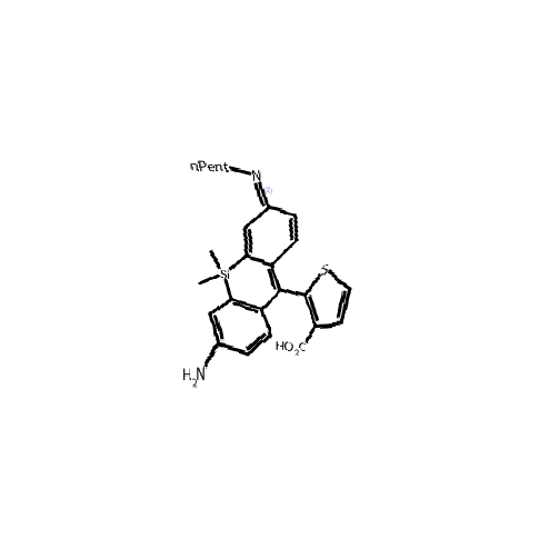 CCCCC/N=C1/C=CC2=C(c3sccc3C(=O)O)c3ccc(N)cc3[Si](C)(C)C2=C1